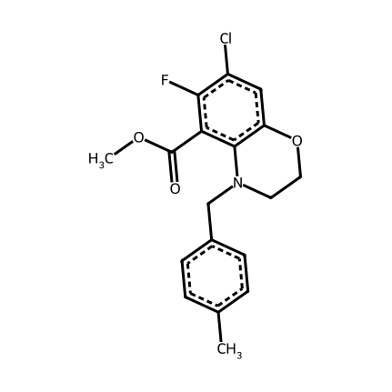 COC(=O)c1c(F)c(Cl)cc2c1N(Cc1ccc(C)cc1)CCO2